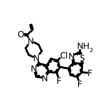 C=CC(=O)N1CCN(c2ncnc3c(F)c(-c4cc(F)c(F)c5sc(N)nc45)c(Cl)cc23)CC1